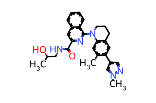 Cc1cc2c(cc1-c1cnn(C)c1)CCCN2c1nc(C(=O)NCC(C)O)cc2ccccc12